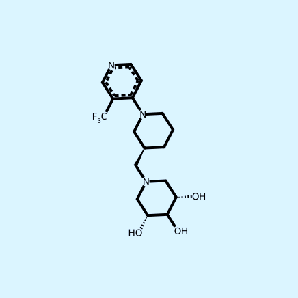 OC1[C@H](O)CN(C[C@@H]2CCCN(c3ccncc3C(F)(F)F)C2)C[C@@H]1O